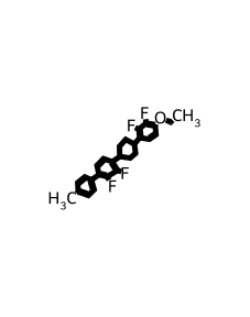 CCOc1ccc(C2CCC(c3ccc(-c4ccc(C)cc4)c(F)c3F)CC2)c(F)c1F